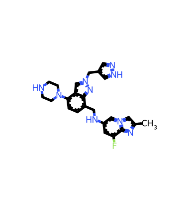 Cc1cn2cc(NCc3ccc(N4CCNCC4)c4cn(Cc5cn[nH]c5)nc34)cc(F)c2n1